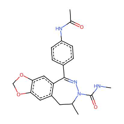 CNC(=O)N1N=C(c2ccc(NC(C)=O)cc2)c2cc3c(cc2CC1C)OCO3